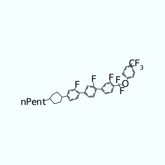 CCCCCC1CCC(c2ccc(-c3ccc(-c4ccc(C(F)(F)Oc5ccc(C(F)(F)F)cc5)c(F)c4)c(F)c3)c(F)c2)CC1